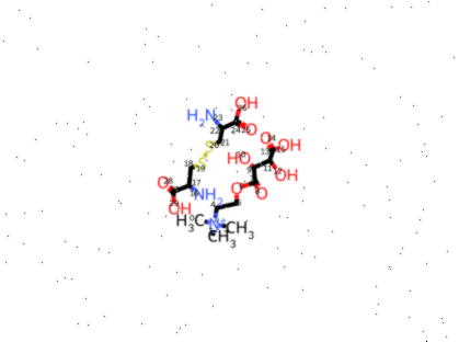 C[N+](C)(C)CCOC(=O)C(O)C(O)C(=O)O.NC(CSSCC(N)C(=O)O)C(=O)O